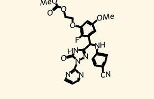 COC(=O)OCCOc1cc(OC)cc(C(Nc2ccc(C#N)cc2)c2nn(-c3ncccn3)c(=O)[nH]2)c1F